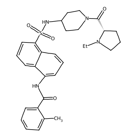 CCN1CCC[C@H]1C(=O)N1CCC(NS(=O)(=O)c2cccc3c(NC(=O)c4ccccc4C)cccc23)CC1